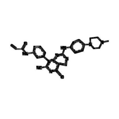 C=CC(=O)Nc1cccc(-n2c(C#N)nc(=O)c3cnc(Nc4ccc(N5CCN(C)CC5)cc4)nc32)c1